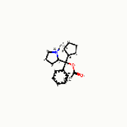 CC(=O)OC(c1ccccc1)(C1CCCC1)C1CCCN1C